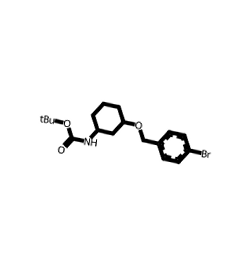 CC(C)(C)OC(=O)NC1CCCC(OCc2ccc(Br)cc2)C1